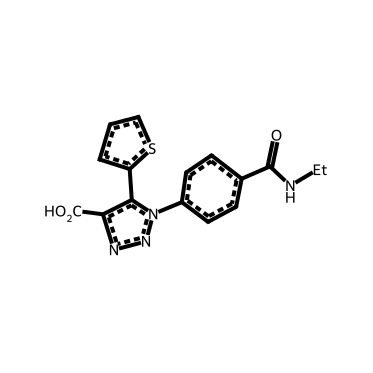 CCNC(=O)c1ccc(-n2nnc(C(=O)O)c2-c2cccs2)cc1